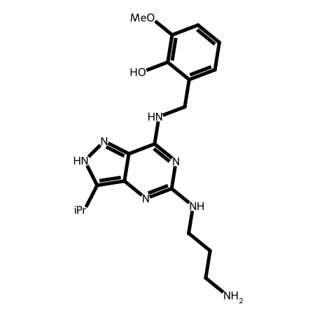 COc1cccc(CNc2nc(NCCCN)nc3c(C(C)C)[nH]nc23)c1O